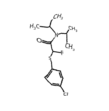 CC(C)N(C(=O)C(F)Sc1ccc(Cl)cc1)C(C)C